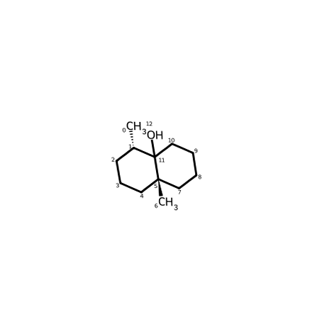 C[C@H]1CCC[C@@]2(C)CCCCC12O